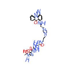 CC(=O)Nc1cn(C)c(C(=O)Nc2cn(C)c(C(=O)NCCCN3CCN(CCCNc4ccc5ncn6c7ccccc7c(=O)c4c56)CC3)n2)c1O